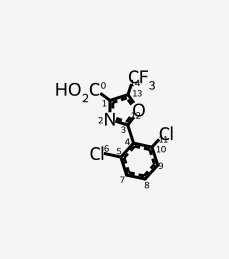 O=C(O)c1nc(-c2c(Cl)cccc2Cl)oc1C(F)(F)F